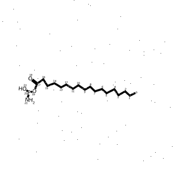 CCCCCCCCCCCCCCCCCC(=O)OP(N)O